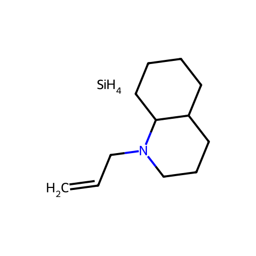 C=CCN1CCCC2CCCCC21.[SiH4]